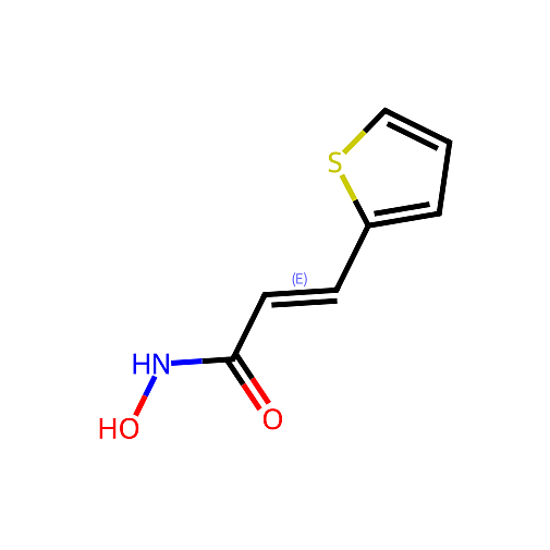 O=C(/C=C/c1cccs1)NO